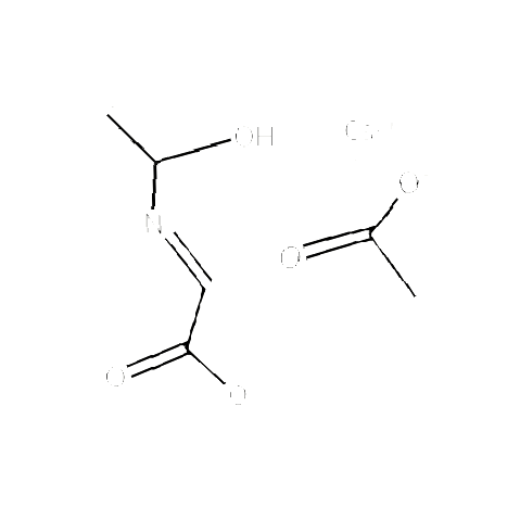 CC(=O)[O-].CC(O)N=CC(=O)[O-].[Ca+2]